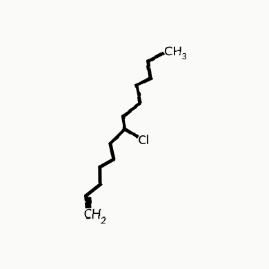 C=CCCCCC(Cl)CCCCCC